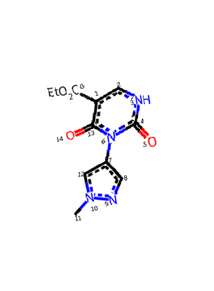 CCOC(=O)c1c[nH]c(=O)n(-c2cnn(C)c2)c1=O